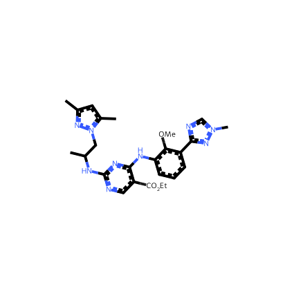 CCOC(=O)c1cnc(NC(C)Cn2nc(C)cc2C)nc1Nc1cccc(-c2ncn(C)n2)c1OC